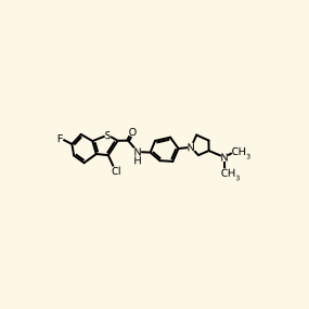 CN(C)C1CCN(c2ccc(NC(=O)c3sc4cc(F)ccc4c3Cl)cc2)C1